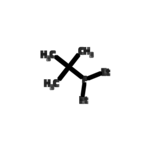 CCP(CC)C(C)(C)C